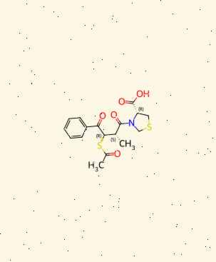 CC(=O)S[C@@H](C(=O)c1ccccc1)[C@@H](C)C(=O)N1CSC[C@H]1C(=O)O